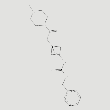 CN1CCN(C(=O)CC23CC(NC(=O)OCc4ccccc4)(C2)C3)CC1